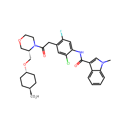 Cn1cc(C(=O)Nc2cc(F)c(CC(=O)N3CCOC[C@H]3CO[C@H]3CC[C@H](C(=O)O)CC3)cc2Cl)c2ccccc21